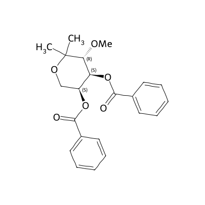 CO[C@@H]1[C@@H](OC(=O)c2ccccc2)[C@@H](OC(=O)c2ccccc2)COC1(C)C